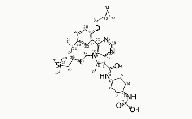 Cc1c(C(=O)N[C@H]2CC[C@H](NC(=O)O)CC2)c2ncnc(-c3cc(C(C)C)ccc3OCC3CC3)c2n1COCC[Si](C)(C)C